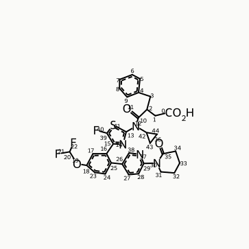 O=C(O)CC(Cc1ccccc1)C(=O)N(c1nc(-c2cc(OC(F)F)ccc2-c2ccc(N3CCCCC3=O)nc2)c(F)s1)C1CC1